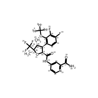 [2H]C([2H])([2H])Oc1c([C@H]2[C@@H](C(=O)Nc3ccnc(C(N)=O)c3)O[C@@](C)(C(F)(F)F)[C@@H]2C)ccc(F)c1F